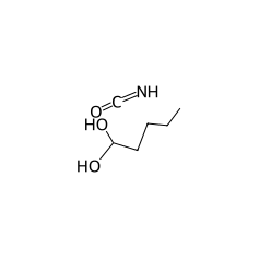 CCCCC(O)O.N=C=O